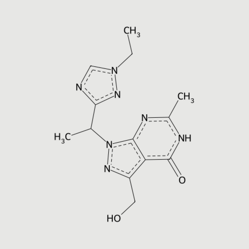 CCn1cnc(C(C)n2nc(CO)c3c(=O)[nH]c(C)nc32)n1